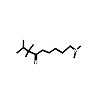 CC(C)C(C)(C)C(=O)CCCCCN(C)C